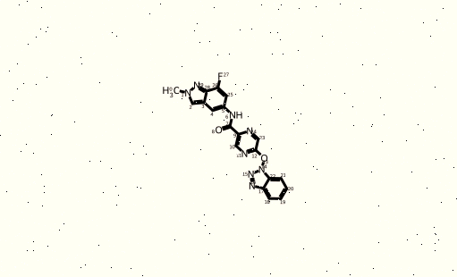 Cn1cc2cc(NC(=O)c3cnc(On4nnc5ccccc54)cn3)cc(F)c2n1